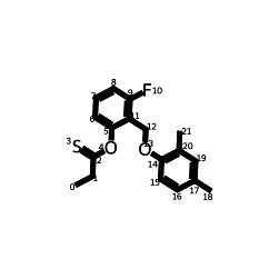 CCC(=S)Oc1cccc(F)c1COc1ccc(C)cc1C